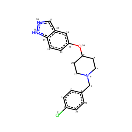 Clc1ccc(CN2CCC(Oc3ccc4[nH]ncc4c3)CC2)cc1